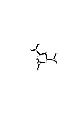 CN(C)CCCN(C)C.[Cl][Co]([Cl])[Cl]